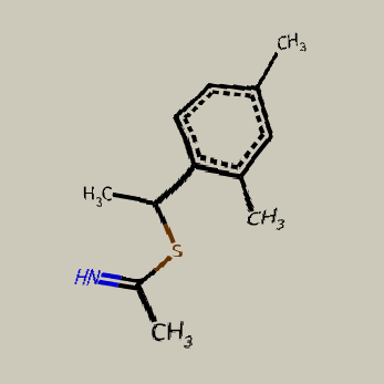 CC(=N)SC(C)c1ccc(C)cc1C